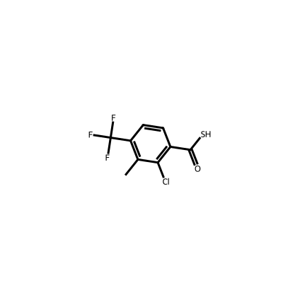 Cc1c(C(F)(F)F)ccc(C(=O)S)c1Cl